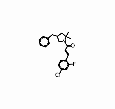 CC1(C)CC(Cc2ccccc2)CN1C(=O)/C=C/c1ccc(Cl)cc1F